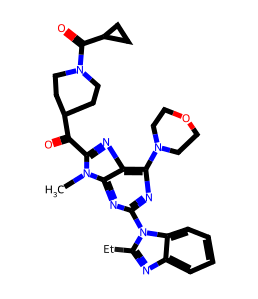 CCc1nc2ccccc2n1-c1nc(N2CCOCC2)c2nc(C(=O)C3CCN(C(=O)C4CC4)CC3)n(C)c2n1